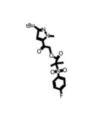 Cn1nc(C(C)(C)C)cc1C(=O)COC(=O)C(C)(C)S(=O)(=O)c1ccc(F)cc1